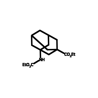 CCOC(=O)NC12CC3CC(C1)CC(C(=O)OCC)(C3)C2